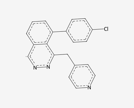 Clc1ccc(-c2cccc3[c]nnc(Cc4ccncc4)c23)cc1